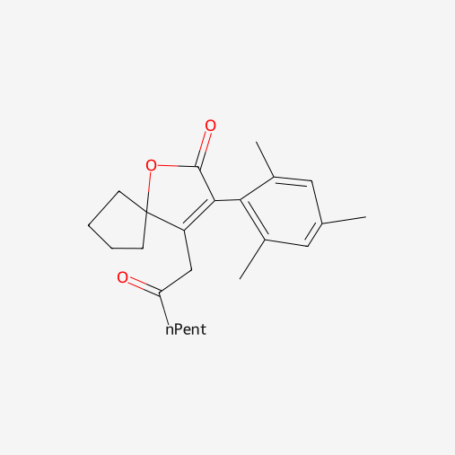 CCCCCC(=O)CC1=C(c2c(C)cc(C)cc2C)C(=O)OC12CCCC2